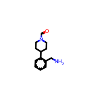 NCc1ccccc1C1CCN(C=O)CC1